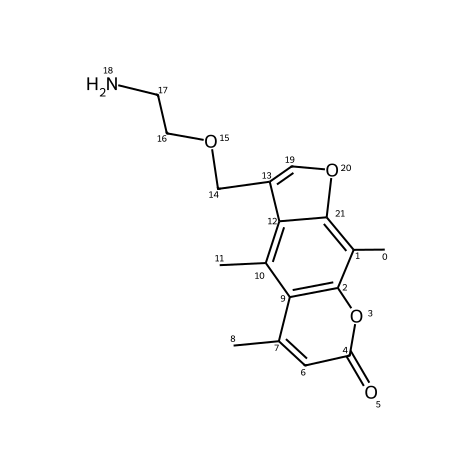 Cc1c2oc(=O)cc(C)c2c(C)c2c(COCCN)coc12